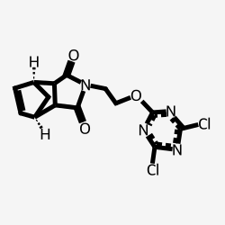 O=C1C2C(C(=O)N1CCOc1nc(Cl)nc(Cl)n1)[C@H]1C=C[C@@H]2C1